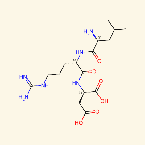 CC(C)C[C@H](N)C(=O)N[C@@H](CCCNC(=N)N)C(=O)N[C@H](CC(=O)O)C(=O)O